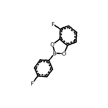 Fc1ccc(B2Oc3cccc(F)c3O2)cc1